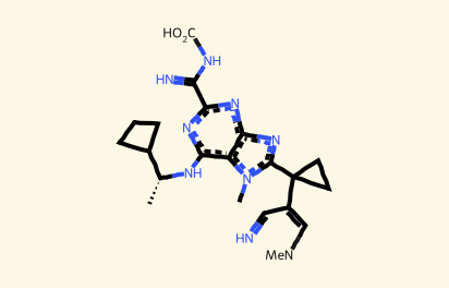 CN/C=C(\C=N)C1(c2nc3nc(C(=N)NC(=O)O)nc(N[C@H](C)C4CCC4)c3n2C)CC1